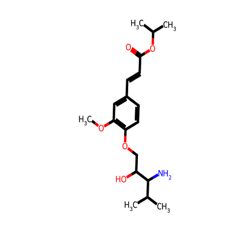 COc1cc(C=CC(=O)OC(C)C)ccc1OCC(O)C(N)C(C)C